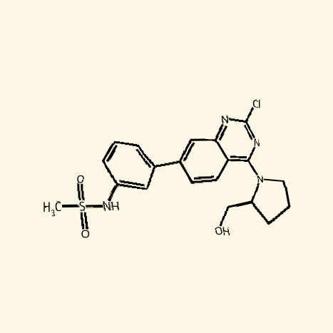 CS(=O)(=O)Nc1cccc(-c2ccc3c(N4CCCC4CO)nc(Cl)nc3c2)c1